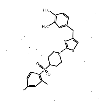 Cc1ccc(Cc2csc(N3CCC(S(=O)(=O)c4ccc(F)cc4F)CC3)n2)cc1C